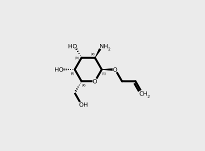 C=CCO[C@H]1O[C@H](CO)[C@H](O)[C@H](O)[C@H]1N